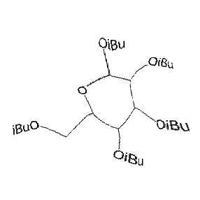 CC(C)COCC1OC(OCC(C)C)C(OCC(C)C)C(OCC(C)C)C1OCC(C)C